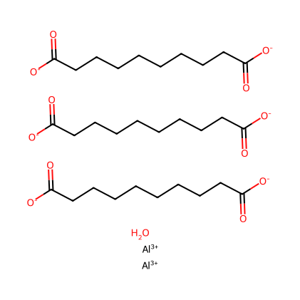 O.O=C([O-])CCCCCCCCC(=O)[O-].O=C([O-])CCCCCCCCC(=O)[O-].O=C([O-])CCCCCCCCC(=O)[O-].[Al+3].[Al+3]